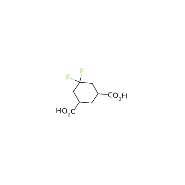 O=C(O)C1CC(C(=O)O)CC(F)(F)C1